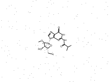 CO[C@@H]1[C@H](O)[C@@H](CI)O[C@H]1n1cnc2c(=O)[nH]c(NC(=O)C(C)C)nc21